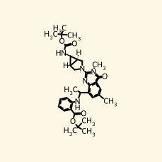 Cc1cc(C(C)Nc2ccccc2C(=O)OC(C)(C)C)c2nc(N3C[C@@H]4[C@H](C3)[C@@H]4NC(=O)OC(C)(C)C)n(C)c(=O)c2c1